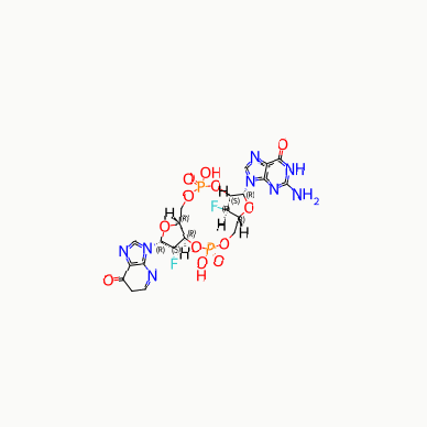 Nc1nc2c(ncn2[C@@H]2O[C@@H]3COP(=O)(O)O[C@H]4[C@H](F)[C@H](n5cnc6c5N=CCC6=O)O[C@@H]4COP(=O)(O)O[C@@H]2[C@@H]3F)c(=O)[nH]1